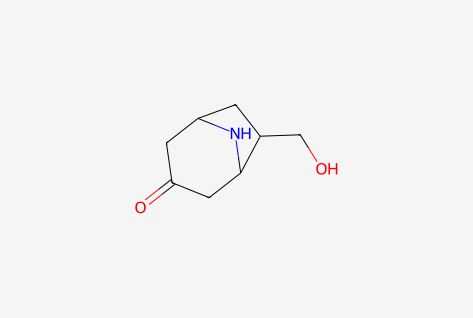 O=C1CC2CC(CO)C(C1)N2